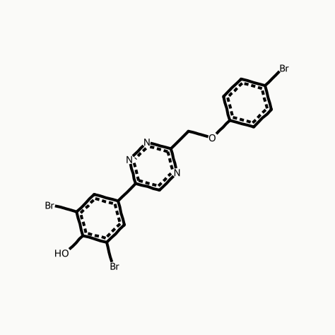 Oc1c(Br)cc(-c2cnc(COc3ccc(Br)cc3)nn2)cc1Br